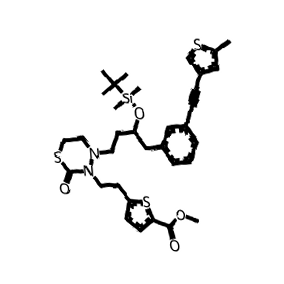 COC(=O)c1ccc(CCN2C(=O)SCCN2CCC(Cc2cccc(C#Cc3csc(C)c3)c2)O[Si](C)(C)C(C)(C)C)s1